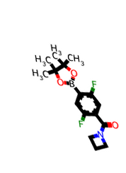 CC1(C)OB(c2cc(F)c(C(=O)N3CCC3)cc2F)OC1(C)C